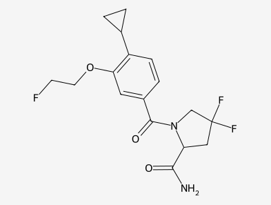 NC(=O)C1CC(F)(F)CN1C(=O)c1ccc(C2CC2)c(OCCF)c1